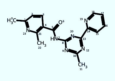 Cc1ccc(C(=O)Nc2nc(C)nc(-c3ccccn3)n2)c(C)n1